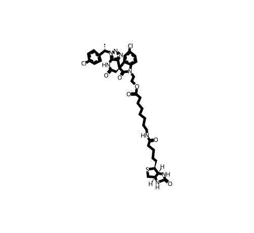 C[C@@H](c1ccc(Cl)cc1)n1nnc2c1NC(=O)C[C@@]21C(=O)N(CCOC(=O)CCCCCCCNC(=O)CCCC[C@@H]2SC[C@@H]3NC(=O)N[C@@H]32)c2ccc(Cl)cc21